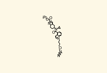 CC(C)OC(=O)n1cc2c(n1)CCC(N(C(=O)c1cccc3c1ccn3CCCCOCN=[N+]=[N-])C1CC1)C2